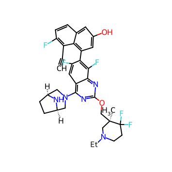 C#Cc1c(F)ccc2cc(O)cc(-c3c(F)cc4c(N5C[C@H]6CC[C@@H](C5)N6)nc(OC[C@]5(C)CN(CC)CCC5(F)F)nc4c3F)c12